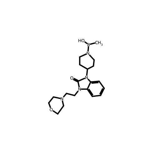 CB(O)N1CCC(n2c(=O)n(CCN3CCOCC3)c3ccccc32)CC1